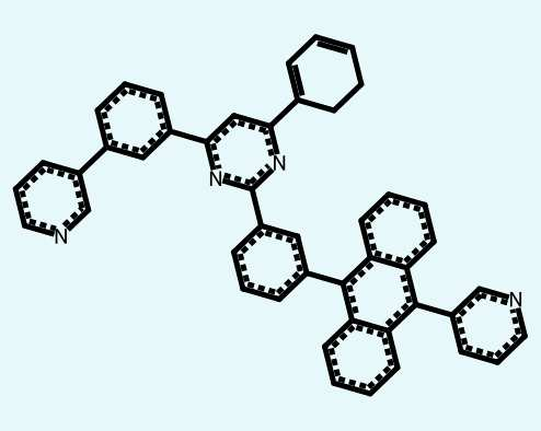 C1=CCCC(c2cc(-c3cccc(-c4cccnc4)c3)nc(-c3cccc(-c4c5ccccc5c(-c5cccnc5)c5ccccc45)c3)n2)=C1